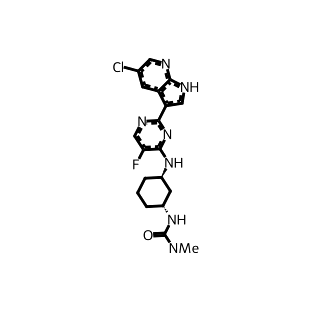 CNC(=O)N[C@@H]1CCC[C@@H](Nc2nc(-c3c[nH]c4ncc(Cl)cc34)ncc2F)C1